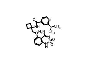 CN(C)c1cc(C(=O)NC2(COc3cccc4c3C(N)=NS(=O)(=O)N4)CCC2)ccn1